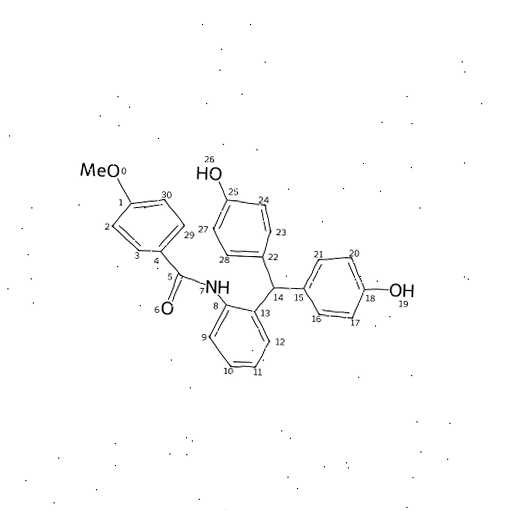 COc1ccc(C(=O)Nc2ccccc2C(c2ccc(O)cc2)c2ccc(O)cc2)cc1